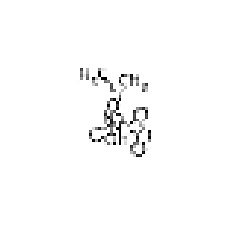 CCCCC(CC)COc1cc(-c2cc3c4ccccc4ccc3c3ccccc23)nc(-c2ccccc2O)n1